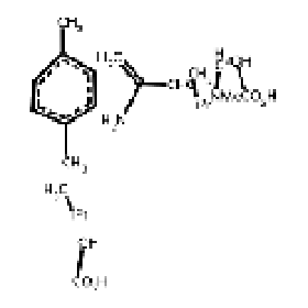 C=C(N)C=O.CC(C)C.CC(C)C.CNC.Cc1ccc(C)cc1.O=C(O)O.O=C(O)O